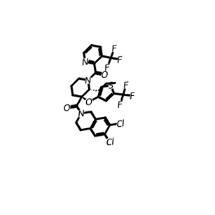 CCC[C@H]1N(C(=O)c2ncccc2C(F)(F)F)CCC[C@@]1(Oc1csc(C(F)(F)F)c1)C(=O)N1CCc2cc(Cl)c(Cl)cc2C1